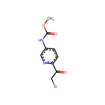 COC(=O)Nc1ccc(C(=O)CBr)nc1